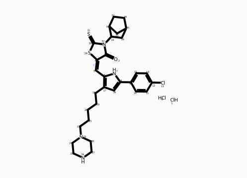 Cl.Cl.O=C1/C(=C\c2[nH]c(-c3ccc(Cl)cc3)cc2CCCCCN2CCNCC2)SC(=S)N1C1CC2CCC1C2